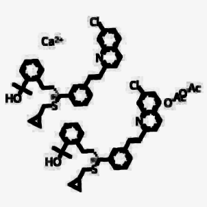 CC(=O)[O-].CC(=O)[O-].CC(C)(O)c1ccccc1CC[C@@H](SCC1CC1)c1cccc(C=Cc2ccc3ccc(Cl)cc3n2)c1.CC(C)(O)c1ccccc1CC[C@@H](SCC1CC1)c1cccc(C=Cc2ccc3ccc(Cl)cc3n2)c1.[Ca+2]